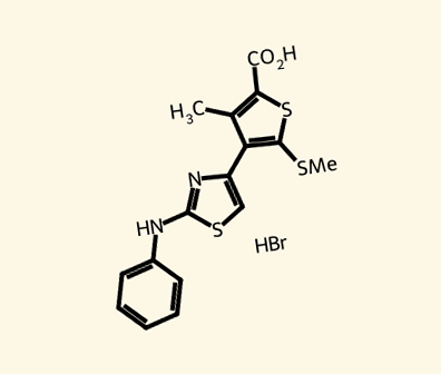 Br.CSc1sc(C(=O)O)c(C)c1-c1csc(Nc2ccccc2)n1